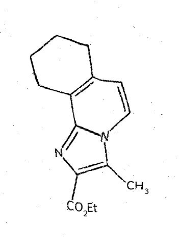 CCOC(=O)c1nc2c3c(ccn2c1C)CCCC3